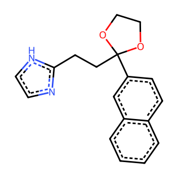 c1ccc2cc(C3(CCc4ncc[nH]4)OCCO3)ccc2c1